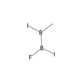 CB(I)B(F)I